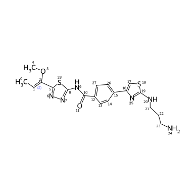 C/C=C(\OC)c1nnc(NC(=O)c2ccc(-c3csc(NCCCN)n3)cc2)s1